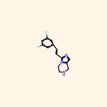 Fc1cc(F)cc(/C=C/c2ncc3n2CCNC3)c1